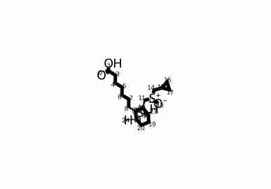 O=C(O)CCCCCC[C@H]1[C@@H](C[S+]([O-])CC2CC2)[C@H]2CC[C@@H]1S2